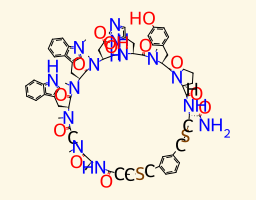 C[C@@H]1NC(=O)CCSCc2cccc(c2)CSC[C@@H](C(N)=O)NC(=O)[C@@H]2CCCN2C(=O)[C@H](Cc2ccc(O)cc2)N(C)C(=O)[C@H](Cc2cnc[nH]2)NC(=O)[C@H](CC(=O)O)N(C)C(=O)[C@H](Cc2cn(C)c3ccccc23)N(C)C(=O)[C@H](Cc2c[nH]c3ccccc23)N(C)C(=O)CN(C)C1=O